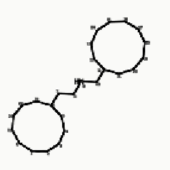 C1CCCCCC(CCNCC2CCCCCCCCCC2)CCCC1